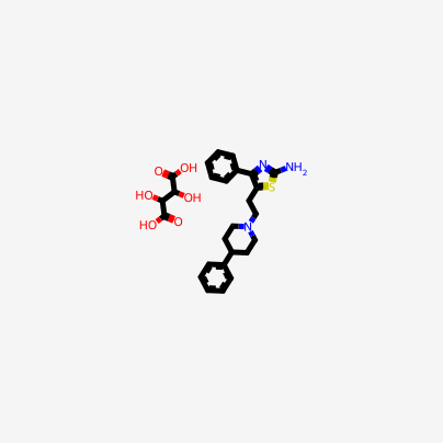 Nc1nc(-c2ccccc2)c(CCN2CCC(c3ccccc3)CC2)s1.O=C(O)C(O)C(O)C(=O)O